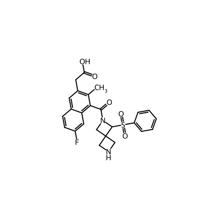 Cc1c(CC(=O)O)cc2ccc(F)cc2c1C(=O)N1CC2(CNC2)C1S(=O)(=O)c1ccccc1